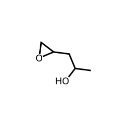 CC(O)CC1CO1